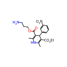 CCOC(=O)C1=C(C)NC(C)=C(C(=O)OCCCN)C1c1cccc([N+](=O)[O-])c1